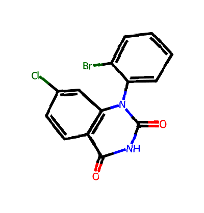 O=c1[nH]c(=O)n(-c2ccccc2Br)c2cc(Cl)ccc12